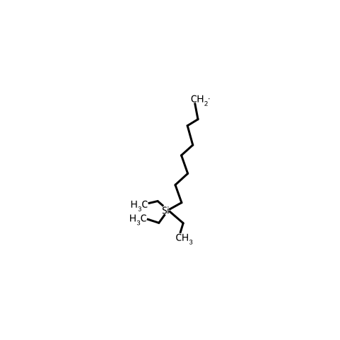 [CH2]CCCCCCC[Si](CC)(CC)CC